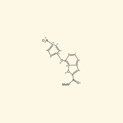 CNC(=O)c1cc2cccc(Oc3ccc([N+](=O)[O-])cc3)c2o1